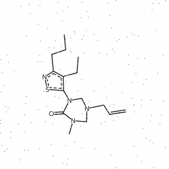 C=CCN1CN(C)C(=O)N(c2snc(CCC)c2CC)C1